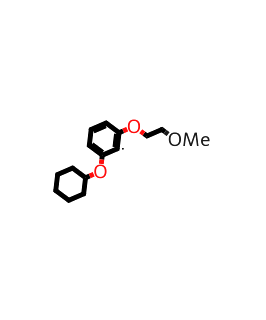 COCCOc1[c]c(OC2CCCCC2)ccc1